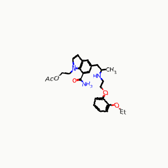 CCOc1ccccc1OCCNC(C)Cc1cc2c(c(C(N)=O)c1)N(CCOC(C)=O)CC2